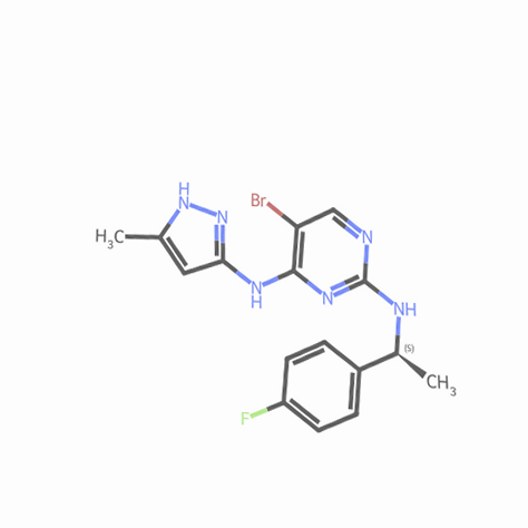 Cc1cc(Nc2nc(N[C@@H](C)c3ccc(F)cc3)ncc2Br)n[nH]1